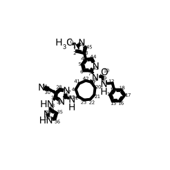 Cn1cc(-c2ccc(/[N+](C(=O)NCc3ccccc3)=C3/CCCC[C@H](Nc4ncc(C#N)c(Nc5cc[nH]n5)n4)CCC3)nc2)cn1